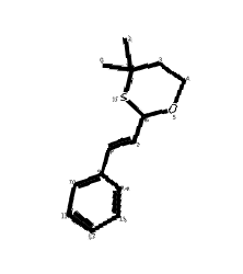 CC1(C)CCOC(C=Cc2ccccc2)S1